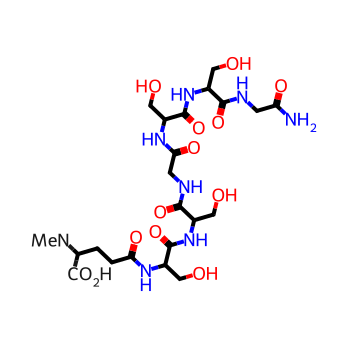 CNC(CCC(=O)NC(CO)C(=O)NC(CO)C(=O)NCC(=O)NC(CO)C(=O)NC(CO)C(=O)NCC(N)=O)C(=O)O